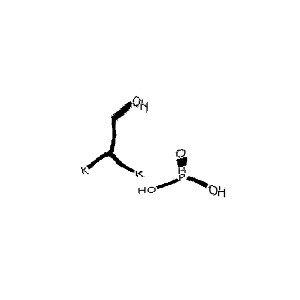 O=[PH](O)O.OC[CH]([K])[K]